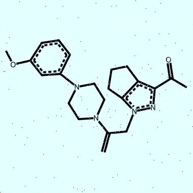 C=C(Cn1nc(C(C)=O)c2c1CCC2)N1CCN(c2cccc(OC)c2)CC1